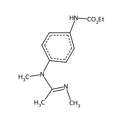 CCOC(=O)Nc1ccc(N(C)C(C)=NC)cc1